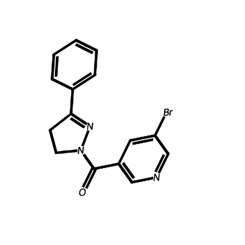 O=C(c1cncc(Br)c1)N1CCC(c2ccccc2)=N1